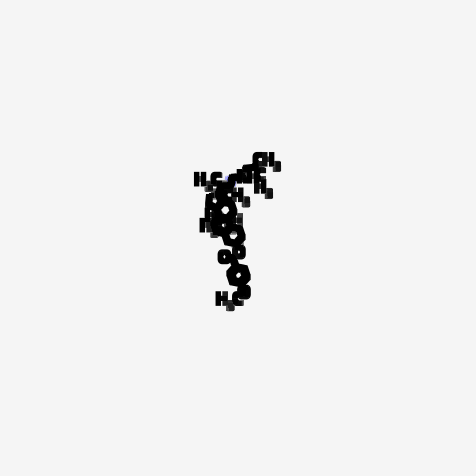 COc1ccc(C(=O)O[C@H]2CC[C@@]3(C)C(=CC[C@H]4C5CC[C@H]([C@H](C)/C=C/NCC(C)C)[C@@]5(C)CC[C@@H]43)C2)cc1